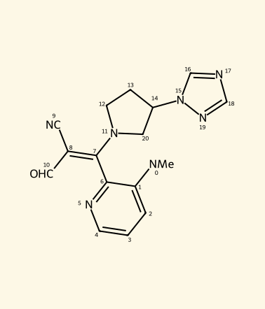 CNc1cccnc1/C(=C(/C#N)C=O)N1CCC(n2cncn2)C1